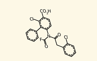 O=C(O)c1ccc(N(C(=O)F)C(=O)Cc2ccccc2Cl)c(-c2ccccc2)c1Cl